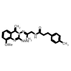 C=C1c2cccc(OC)c2N=C(NC)N1/N=C(\C)CNC(=O)CCc1ccc(C)cc1